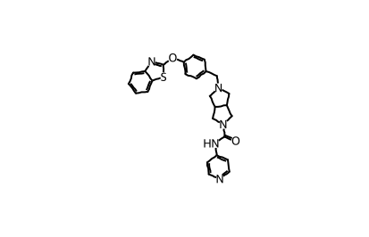 O=C(Nc1ccncc1)N1CC2CN(Cc3ccc(Oc4nc5ccccc5s4)cc3)CC2C1